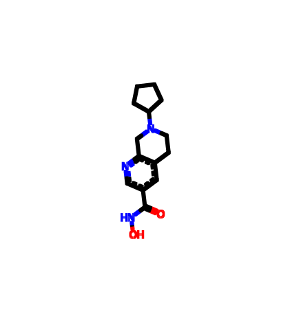 O=C(NO)c1cnc2c(c1)CCN(C1CCCC1)C2